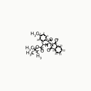 Cc1ccc(S(=O)(=NCC(=O)OC(C)(C)C)N2C(=O)c3ccccc3C2=O)cc1